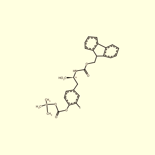 C[Si](C)(C)OC(=O)Oc1ccc(C[C@H](NC(=O)OCC2c3ccccc3-c3ccccc32)C(=O)O)cc1I